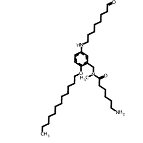 CCCCCCCCCCCCOc1ccc(NCCCCCCCC=O)cc1CN(C)C(=O)CCCCCN